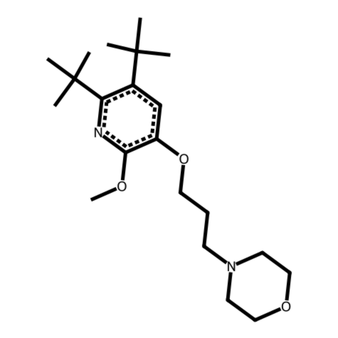 COc1nc(C(C)(C)C)c(C(C)(C)C)cc1OCCCN1CCOCC1